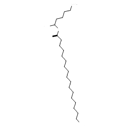 CNCCCCC(NC(=O)CCCCCCCCCCCCCCCCC(=O)O)C(=O)O